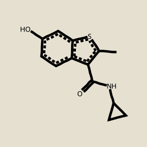 Cc1sc2cc(O)ccc2c1C(=O)NC1CC1